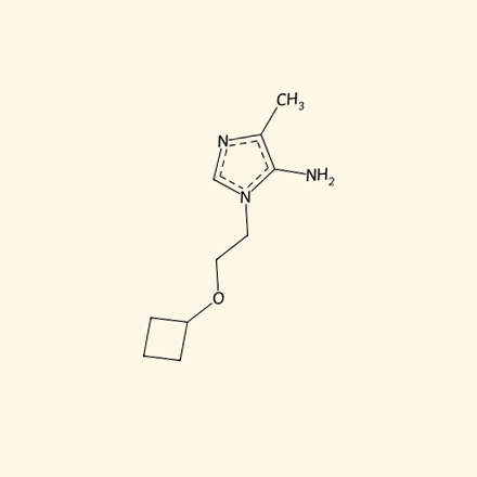 Cc1ncn(CCOC2CCC2)c1N